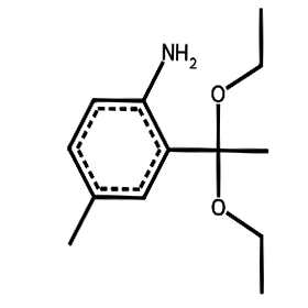 CCOC(C)(OCC)c1cc(C)ccc1N